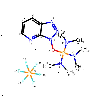 CN(C)[P+](On1nnc2cccnc21)(N(C)C)N(C)C.F[P-](F)(F)(F)(F)F